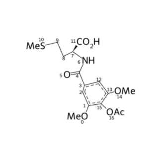 COc1cc(C(=O)N[C@@H](CCSC)C(=O)O)cc(OC)c1OC(C)=O